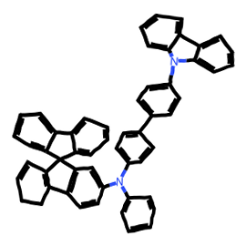 C1=CC2=C(CC1)c1ccc(N(c3ccccc3)c3ccc(-c4ccc(-n5c6ccccc6c6ccccc65)cc4)cc3)cc1C21c2ccccc2-c2ccccc21